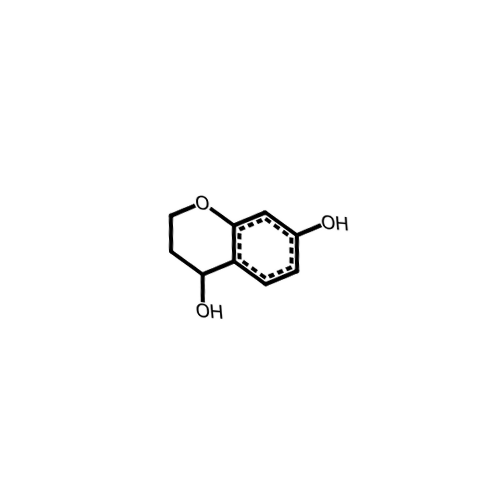 Oc1ccc2c(c1)OCCC2O